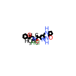 C=C(C(=O)N(C)Cc1oc2ccccc2c1C)c1cnc2c(c1)CNC1(CCCC1)C(=O)N2.Cl